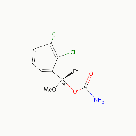 CC[C@](OC)(OC(N)=O)c1cccc(Cl)c1Cl